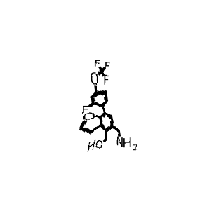 NCc1cc(-c2ccc(OC(F)(F)F)cc2F)c2c(c1CO)CCO2